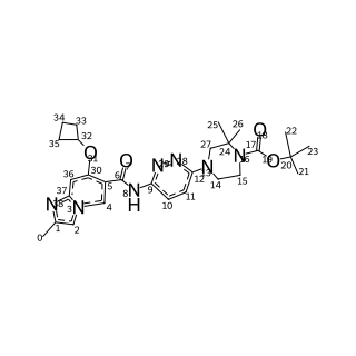 Cc1cn2cc(C(=O)Nc3ccc(N4CCN(C(=O)OC(C)(C)C)C(C)(C)C4)nn3)c(OC3CCC3)cc2n1